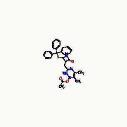 CC(=O)ON1NC(CC2C(=O)NC2SC(c2ccccc2)(c2ccccc2)c2ccccc2)=NC(C)=C1C